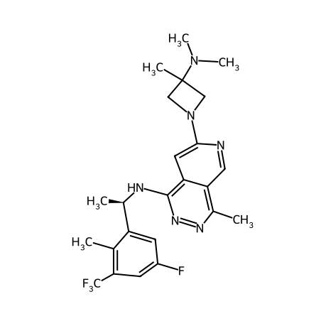 Cc1c([C@@H](C)Nc2nnc(C)c3cnc(N4CC(C)(N(C)C)C4)cc23)cc(F)cc1C(F)(F)F